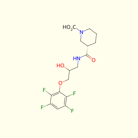 O=C(NCC(O)COc1c(F)c(F)cc(F)c1F)[C@H]1CCCN(C(=O)O)C1